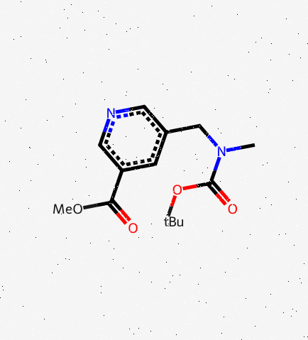 COC(=O)c1cncc(CN(C)C(=O)OC(C)(C)C)c1